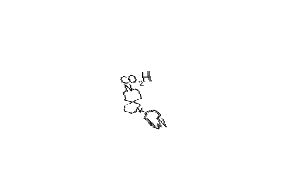 O=C(O)N1CCC2(CCCN(c3ccncc3)C2)CC1